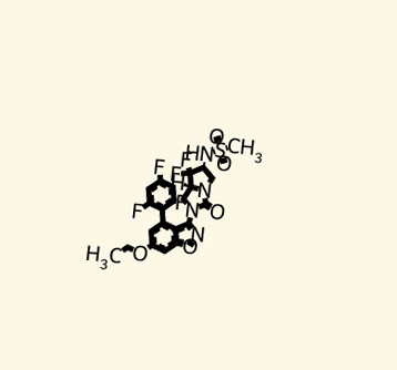 CCOc1cc(-c2c(F)cc(F)cc2F)c2c(N3C[C@H]4N(C[C@@H](NS(C)(=O)=O)C4(F)F)C3=O)noc2c1